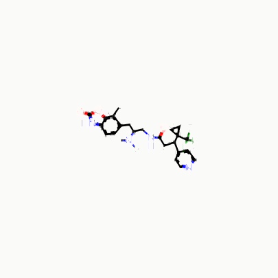 Cc1c(CC(CNC(=O)CC(c2ccncc2)C2(C(F)(F)F)CC2)N(C)C)ccc2[nH]c(=O)oc12